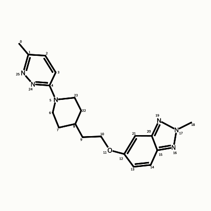 Cc1ccc(N2CCC(CCOc3ccc4nn(C)nc4c3)CC2)nn1